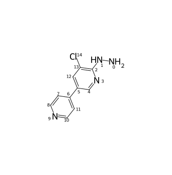 NNc1ncc(-c2ccncc2)cc1Cl